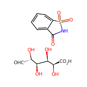 O=C1NS(=O)(=O)c2ccccc21.O=C[C@H](O)[C@H](O)[C@@H](O)[C@H](O)C(=O)O